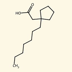 CCCCCCCC1(CC(=O)O)CCCC1